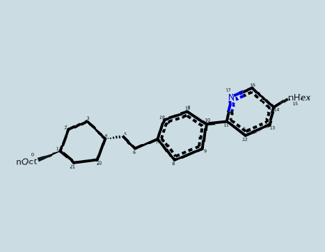 CCCCCCCC[C@H]1CC[C@H](CCc2ccc(-c3ccc(CCCCCC)cn3)cc2)CC1